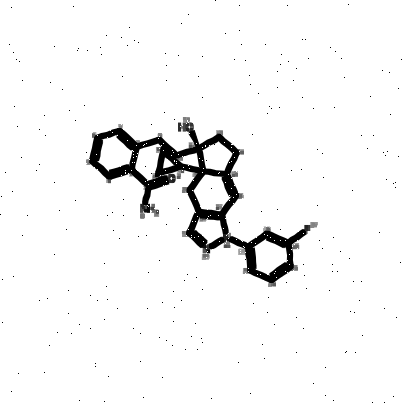 NC(=O)c1ccccc1CC[C@]1(O)CCC2=Cc3c(cnn3-c3cccc(F)c3)CC21C1CC1